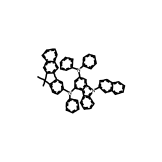 CC1(C)c2ccc(N(c3ccccc3)c3cc(N(c4ccccc4)c4ccccc4)cc4c3c3ccccc3n4-c3ccc4ccccc4c3)cc2-c2cc3ccccc3cc21